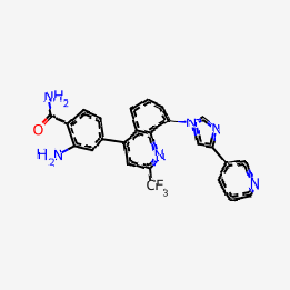 NC(=O)c1ccc(-c2cc(C(F)(F)F)nc3c(-n4cnc(-c5cccnc5)c4)cccc23)cc1N